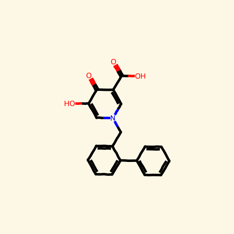 O=C(O)c1cn(Cc2ccccc2-c2ccccc2)cc(O)c1=O